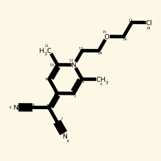 CC1=CC(=C(C#N)C#N)C=C(C)N1CCOCCCl